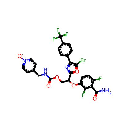 NC(=O)c1c(F)ccc(OC(COC(=O)NCc2cc[n+]([O-])cc2)c2nc(-c3ccc(C(F)(F)F)cc3)c(Br)o2)c1F